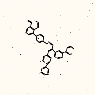 C=Cc1cccc(-c2ccc(C/N=C\C(=C\c3ccc(-c4cccnc4)cc3)c3cccc(C(/C=C\C)=C/C)c3)cc2)c1/C=C\C